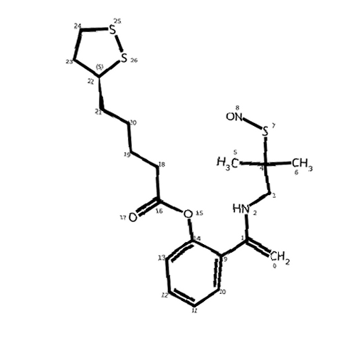 C=C(NCC(C)(C)SN=O)c1ccccc1OC(=O)CCCC[C@H]1CCSS1